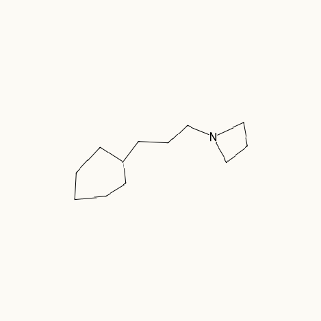 C1CCC(CCCN2CCC2)CC1